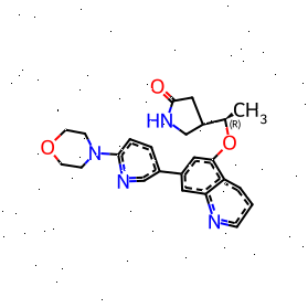 C[C@@H](Oc1cc(-c2ccc(N3CCOCC3)nc2)cc2ncccc12)C1CNC(=O)C1